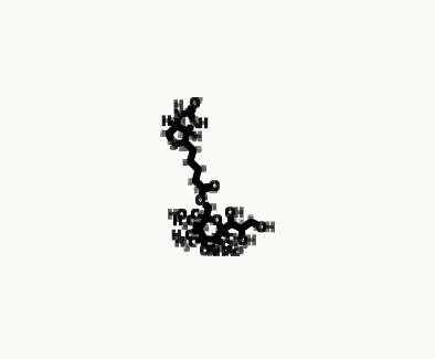 CC(=O)N[C@@]1(C)C(C)(C(O)C(O)CO)O[C@](COC(=O)CCCCC2SC[C@@H]3NC(=O)N[C@H]23)(C(=O)O)C(C)(C)C1(C)O